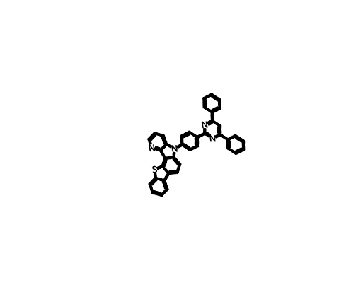 c1ccc(-c2cc(-c3ccccc3)nc(-c3ccc(-n4c5cccnc5c5c6sc7ccccc7c6ccc54)cc3)n2)cc1